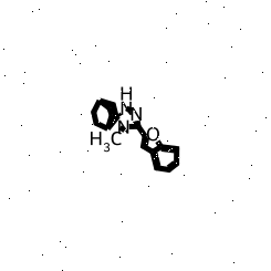 CN1C(c2cc3ccccc3o2)=NN[C@@]12CC1CCC2CC1